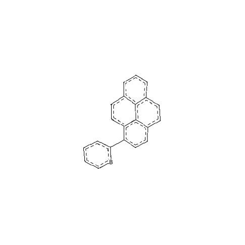 b1ccccc1-c1ccc2ccc3cccc4ccc1c2c34